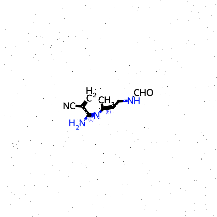 C=C(C#N)/C(N)=N\C(C)=C\CNC=O